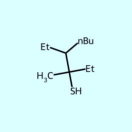 CCCCC(CC)C(C)(S)CC